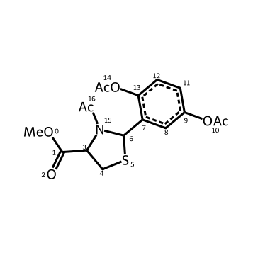 COC(=O)C1CSC(c2cc(OC(C)=O)ccc2OC(C)=O)N1C(C)=O